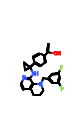 C=C(O)c1ccc(C2(Nc3nccc4c3N(Cc3cc(F)cc(F)c3)CCC4)CC2)cc1